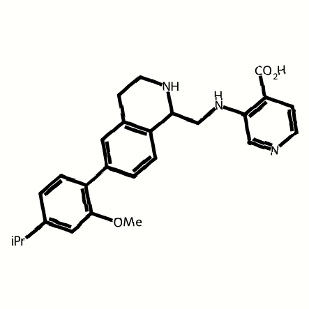 COc1cc(C(C)C)ccc1-c1ccc2c(c1)CCNC2CNc1cnccc1C(=O)O